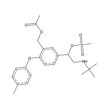 CC(=O)OCc1cc(C(CNC(C)(C)C)OS(C)(=O)=O)ccc1Oc1ccc(C)cc1